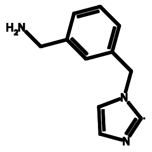 NCc1cccc(Cn2[c]ncc2)c1